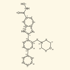 O=C(NO)c1ccc2nc(-c3ccc(-c4ccccc4)cc3CN3CCOCC3)[nH]c2c1